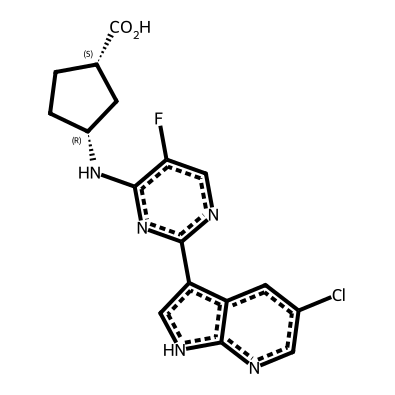 O=C(O)[C@H]1CC[C@@H](Nc2nc(-c3c[nH]c4ncc(Cl)cc34)ncc2F)C1